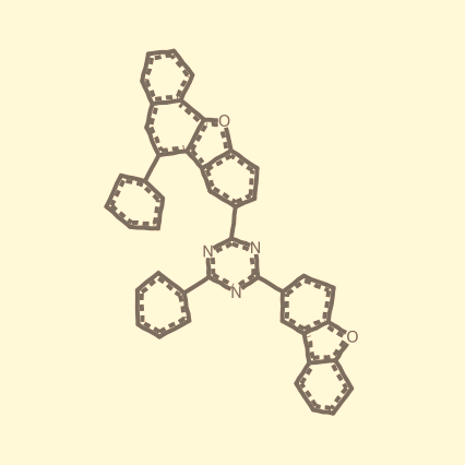 c1ccc(-c2nc(-c3ccc4oc5ccccc5c4c3)nc(-c3ccc4oc5c6ccccc6cc(-c6ccccc6)c5c4c3)n2)cc1